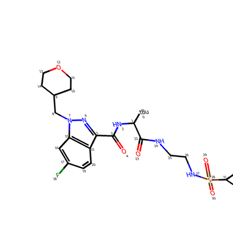 CC(C)(C)C(NC(=O)c1nn(CC2CCOCC2)c2cc(F)ccc12)C(=O)NCCNS(=O)(=O)C1CC1